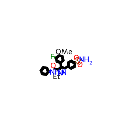 CCn1nc(-c2ccc(S(N)(=O)=O)cc2)c(-c2ccc(OC)c(F)c2)c1C(=O)Nc1ccccc1